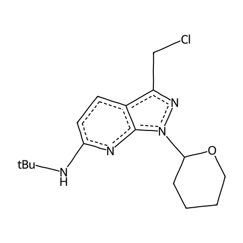 CC(C)(C)Nc1ccc2c(CCl)nn(C3CCCCO3)c2n1